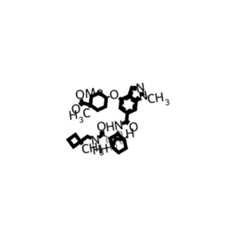 COC(=O)[C@]1(C)CC[C@H](Oc2cc(C(=O)N[C@@H]3[C@H]4CC[C@H](C4)[C@@H]3C(=O)NCC3(C)CCC3)cc3c2cnn3C)CC1